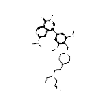 CCN(CC=O)CCC1CCN(Cc2c(OC)cc(-c3cn(C)c(=O)c4cnc(N(C)C)cc34)cc2OC)CC1